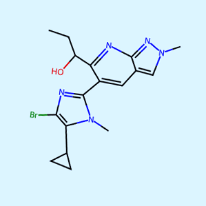 CCC(O)c1nc2nn(C)cc2cc1-c1nc(Br)c(C2CC2)n1C